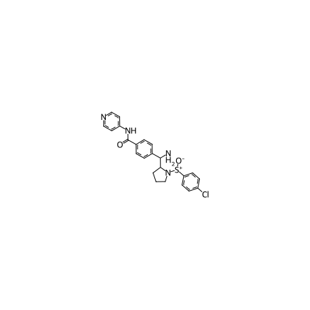 NC(c1ccc(C(=O)Nc2ccncc2)cc1)C1CCCN1[S+]([O-])c1ccc(Cl)cc1